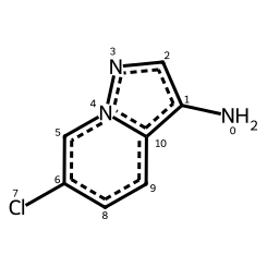 Nc1cnn2cc(Cl)ccc12